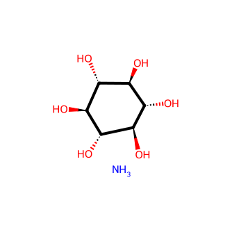 N.O[C@H]1[C@H](O)[C@@H](O)[C@H](O)[C@@H](O)[C@@H]1O